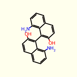 Nc1cccc2ccc(O)c(-c3c(O)ccc4cccc(N)c34)c12